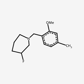 COc1cc(C)ccc1CN1CCCC(F)C1